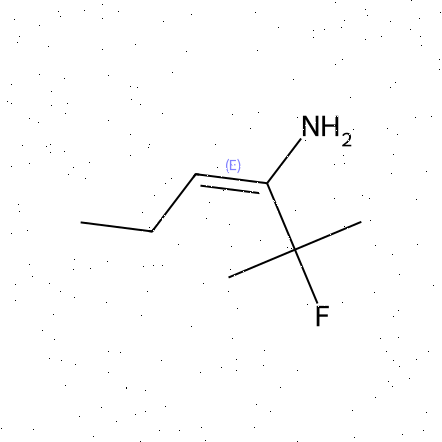 CC/C=C(/N)C(C)(C)F